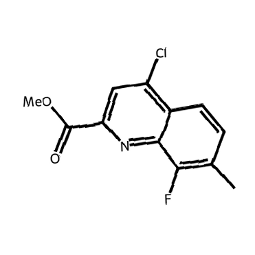 COC(=O)c1cc(Cl)c2ccc(C)c(F)c2n1